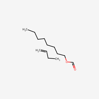 C=CCC.CCCCCCCCOC=O